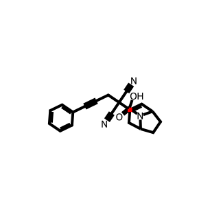 N#CC(C#N)(CC#Cc1ccccc1)C1=CC2CCC(C1)N2C(=O)O